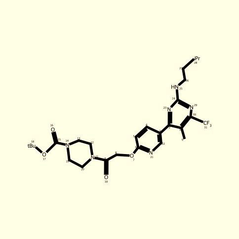 Cc1c(-c2ccc(OCC(=O)N3CCN(C(=O)OC(C)(C)C)CC3)nc2)nc(NCCC(C)C)nc1C(F)(F)F